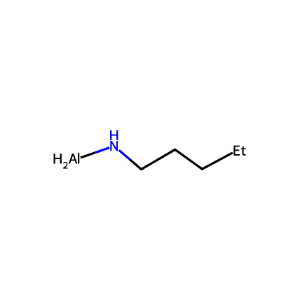 CCCCC[NH][AlH2]